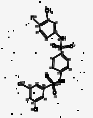 Cc1cc(NS(=O)(=O)c2ccc(NS(=O)(=O)c3cc(Cl)cc(Cl)c3)cc2)ccc1F